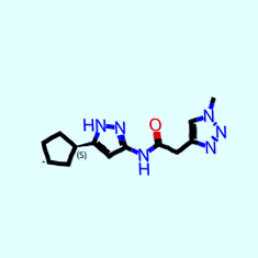 Cn1cc(CC(=O)Nc2cc([C@H]3C[CH]CC3)[nH]n2)nn1